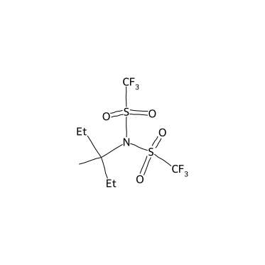 CCC(C)(CC)N(S(=O)(=O)C(F)(F)F)S(=O)(=O)C(F)(F)F